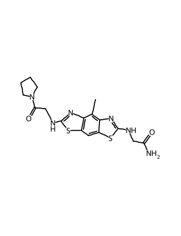 Cc1c2nc(NCC(N)=O)sc2cc2sc(NCC(=O)N3CCCC3)nc12